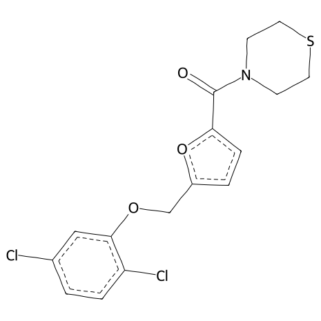 O=C(c1ccc(COc2cc(Cl)ccc2Cl)o1)N1CCSCC1